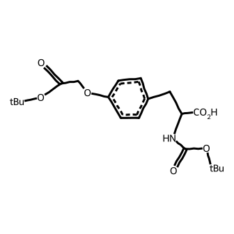 CC(C)(C)OC(=O)COc1ccc(CC(NC(=O)OC(C)(C)C)C(=O)O)cc1